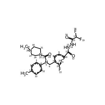 Cc1ccc(N(Cc2ccc(C(=O)NNC(=O)C(F)F)cc2F)C(=O)N2CCN(C)CC2)cc1